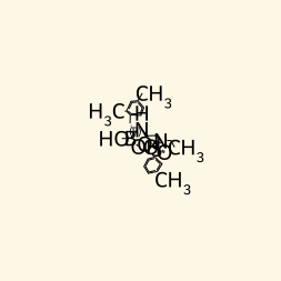 CCN(CC(=O)N[C@@H](Cc1ccc(C)cc1C)B(O)O)S(=O)(=O)c1cccc(C)c1